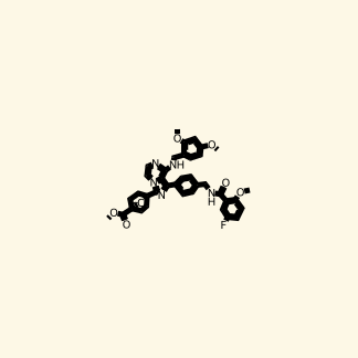 COC(=O)C12CCC(c3nc(-c4ccc(CNC(=O)c5cc(F)ccc5OC)cc4)c4c(NCc5ccc(OC)cc5OC)nccn34)(CC1)CC2